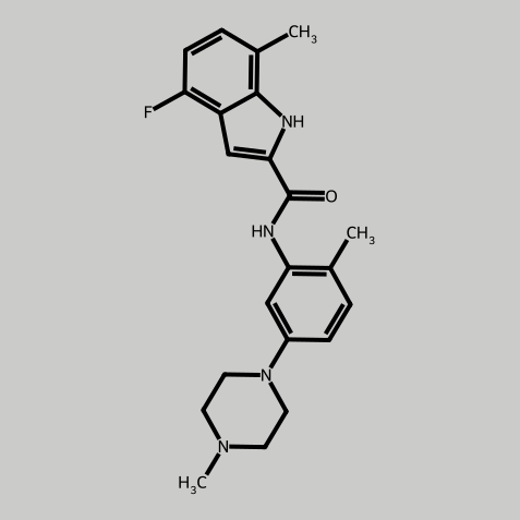 Cc1ccc(N2CCN(C)CC2)cc1NC(=O)c1cc2c(F)ccc(C)c2[nH]1